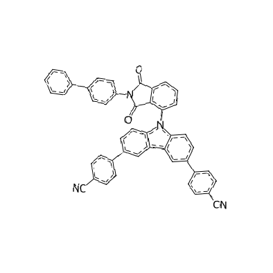 N#Cc1ccc(-c2ccc3c(c2)c2cc(-c4ccc(C#N)cc4)ccc2n3-c2cccc3c2C(=O)N(c2ccc(-c4ccccc4)cc2)C3=O)cc1